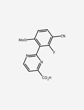 COc1ccc(C#N)c(F)c1-c1nccc(C(=O)O)n1